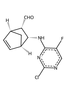 O=C[C@@H]1[C@H](Nc2nc(Cl)ncc2F)[C@H]2C=C[C@@H]1C2